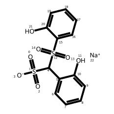 O=S(=O)([O-])C(c1ccccc1O)S(=O)(=O)c1ccccc1O.[Na+]